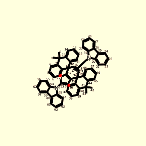 CC1(C)c2ccccc2C2(c3ccccc31)c1cc(-n3c4ccccc4c4ccccc43)sc1C1(c3ccccc3C(C)(C)c3ccccc31)c1cc(-n3c4ccccc4c4ccccc43)sc12